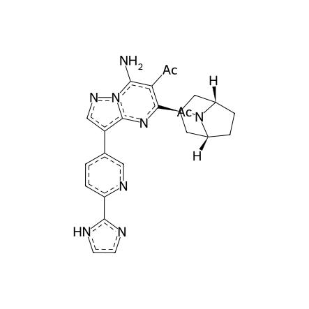 CC(=O)c1c([C@@H]2C[C@H]3CC[C@@H](C2)N3C(C)=O)nc2c(-c3ccc(-c4ncc[nH]4)nc3)cnn2c1N